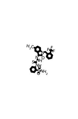 Cc1ccc2c(c1)C(=NNC(=S)Nc1ccccc1S(N)(=O)=O)C(=O)N2Cc1ccccc1C(F)(F)F